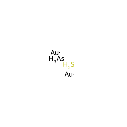 S.[AsH3].[Au].[Au]